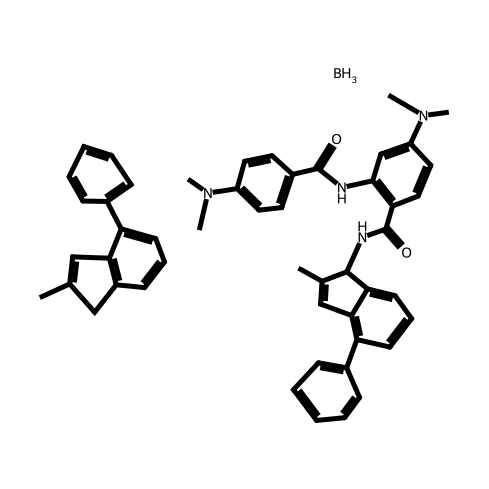 B.CC1=Cc2c(-c3ccccc3)cccc2C1NC(=O)c1ccc(N(C)C)cc1NC(=O)c1ccc(N(C)C)cc1.CC1=Cc2c(cccc2-c2ccccc2)C1